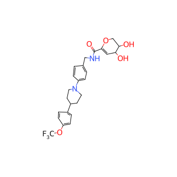 O=C(NCc1ccc(N2CCC(c3ccc(OC(F)(F)F)cc3)CC2)cc1)C1=CC(O)C(O)CO1